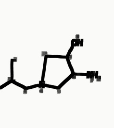 C[C](C)CN1CC(N)C(O)C1